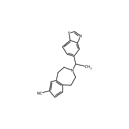 CC(c1ccc2scnc2c1)N1CCc2ccc(C#N)cc2CC1